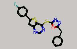 Fc1ccc(-c2cc3ncnc(Sc4nnc(Cc5ccccc5)o4)c3s2)cc1